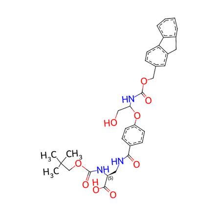 CC(C)(C)COC(=O)N[C@@H](CNC(=O)c1ccc(OC(CO)NC(=O)OCc2ccc3c(c2)Cc2ccccc2-3)cc1)C(=O)O